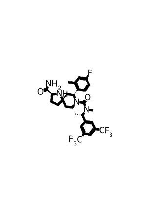 Cc1cc(F)ccc1[C@H]1C[C@]2(CC[C@@H](C(N)=O)N2)CCN1C(=O)N(C)[C@@H](C)c1cc(C(F)(F)F)cc(C(F)(F)F)c1